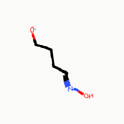 [O]CCCC=NO